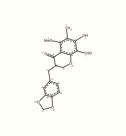 COc1c(C)c(O)c(C=O)c2c1C(=O)C(Cc1ccc3c(c1)OCO3)CO2